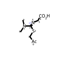 CC(=O)CS/C(=N\CC(=O)O)N(C)C